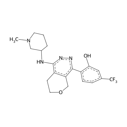 CN1CCCC(Nc2nnc(-c3ccc(C(F)(F)F)cc3O)c3c2CCOC3)C1